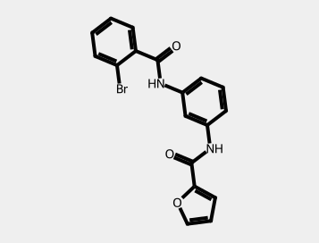 O=C(Nc1cccc(NC(=O)c2ccccc2Br)c1)c1ccco1